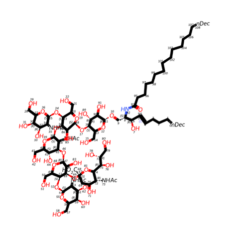 CCCCCCCCCCCCC/C=C/[C@@H](O)[C@H](CO[C@@H]1OC(CO)[C@@H](O[C@@H]2OC(CO)[C@H](O[C@@H]3OC(CO)[C@H](O)[C@H](O)C3NC(C)=O)[C@H](O[C@@H]3OC(CO)[C@@H](O)[C@H](O[C@@H]4OC(CO)[C@H](O[C@@H]5OC(CO)[C@H](O)[C@H](O)C5NC(C)=O)[C@H](O[C@]5(C(=O)O)CC(O)[C@@H](NC(C)=O)C([C@H](O)[C@H](O)CO)O5)C4O)C3NC(C)=O)C2O)[C@H](O)C1O)NC(=O)CCCCCCCCCCCCCCCCCCCCCCC